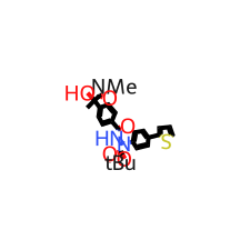 CNC(=O)C(C)(O)c1ccc(C(=O)NN(C(=O)OC(C)(C)C)c2ccc(-c3cccs3)cc2)cc1